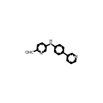 O=Cc1ccc(Nc2ccc(-c3cccnc3)cc2)cn1